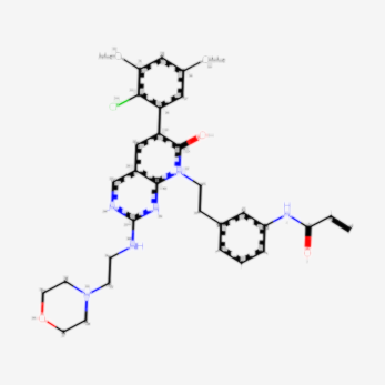 C=CC(=O)Nc1cccc(CCn2c(=O)c(-c3cc(OC)cc(OC)c3Cl)cc3cnc(NCCN4CCOCC4)nc32)c1